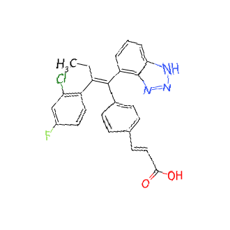 CC/C(=C(/c1ccc(/C=C/C(=O)O)cc1)c1cccc2[nH]nnc12)c1ccc(F)cc1Cl